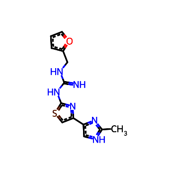 Cc1nc(-c2csc(NC(=N)NCc3ccco3)n2)c[nH]1